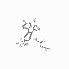 CCOC(=O)CSc1cc(S(C)(=O)=O)cc(-c2ccc(F)cc2)c1-c1cncc(C#N)c1